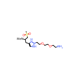 CNC(CC1=CNN(CCOCCOCCN)N1)CS(C)(=O)=O